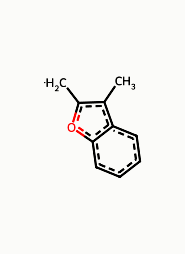 [CH2]c1oc2ccccc2c1C